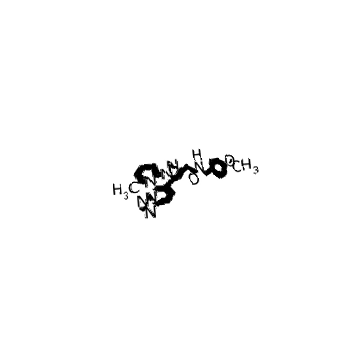 COc1ccc(CNC(=O)Cc2cc(-c3ccc4ncnn4c3)n(-c3cccc(C)n3)n2)cc1